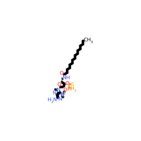 CCCCCCCCCCCCCCCC(=O)NC[C@H]1O[C@@H](n2cnc3c(N)ncnc32)C(OC)C1O[PH](P)=S